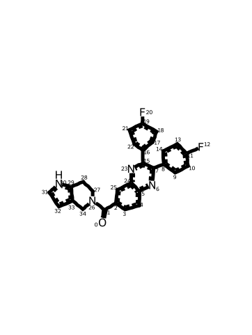 O=C(c1ccc2nc(-c3ccc(F)cc3)c(-c3ccc(F)cc3)nc2c1)N1CCc2[nH]ccc2C1